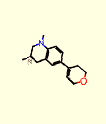 C[C@@H]1Cc2cc(C3=CCOCC3)ccc2N(C)C1